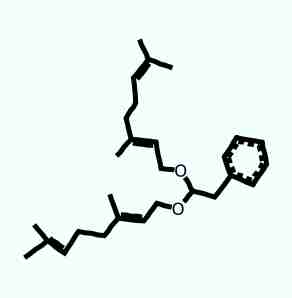 CC(C)=CCC/C(C)=C/COC(Cc1ccccc1)OC/C=C(\C)CCC=C(C)C